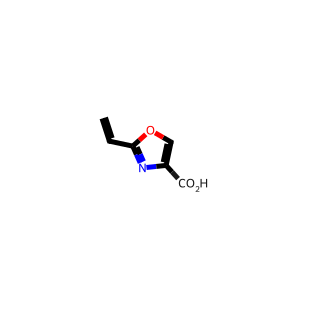 C=Cc1nc(C(=O)O)co1